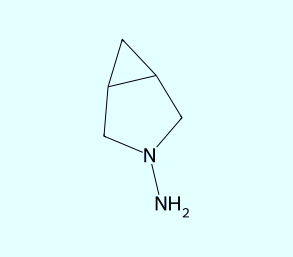 NN1CC2CC2C1